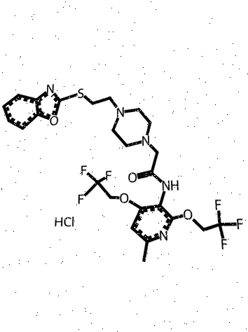 Cc1cc(OCC(F)(F)F)c(NC(=O)CN2CCN(CCSc3nc4ccccc4o3)CC2)c(OCC(F)(F)F)n1.Cl